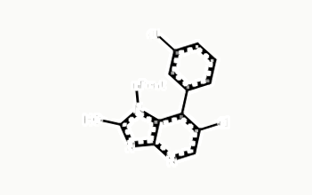 CCCCCn1c(O)nc2ncc(Cl)c(-c3cccc(Cl)c3)c21